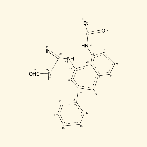 CCC(=O)Nc1cccc2nc(-c3ccccc3)cc(NC(=N)NC=O)c12